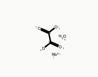 O.O=C([O-])C(=O)[O-].[Nb+2]